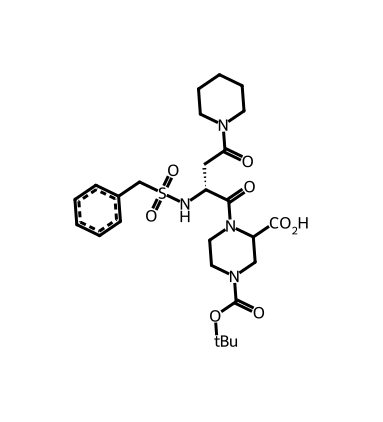 CC(C)(C)OC(=O)N1CCN(C(=O)[C@@H](CC(=O)N2CCCCC2)NS(=O)(=O)Cc2ccccc2)C(C(=O)O)C1